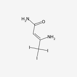 NC(=O)C=C(N)C(I)(I)I